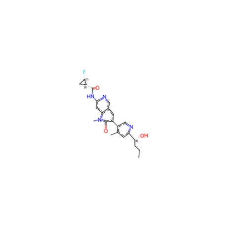 CCC[C@@H](O)c1cc(C)c(-c2cc3cnc(NC(=O)[C@@H]4C[C@@H]4F)cc3n(C)c2=O)cn1